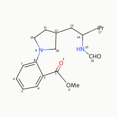 COC(=O)c1ccccc1N1CCC(CC(NC=O)C(C)C)C1